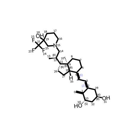 C=C1/C(=C\C=C2/CCC[C@]3(C)[C@@H]([C@@H](C)CN4CCCC(O)(C(F)(F)F)C4)CC[C@@H]23)C[C@@H](O)C[C@@H]1O